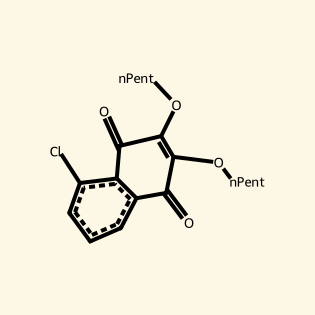 CCCCCOC1=C(OCCCCC)C(=O)c2c(Cl)cccc2C1=O